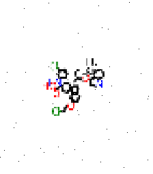 C[C@@H](COc1ccnc2c1[C@H](C)CCC2)C[C@H]1Cc2ccc(OCCCl)cc2C12CCC(Nc1cccc(Cl)c1)(C(=O)O)CC2